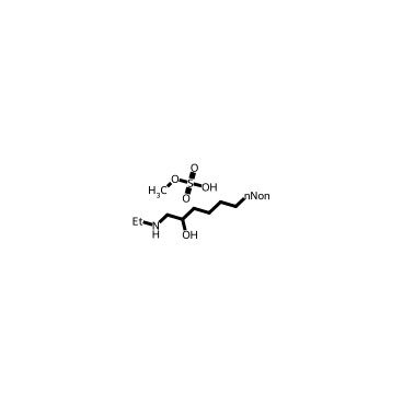 CCCCCCCCCCCCCC(O)CNCC.COS(=O)(=O)O